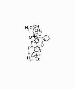 CCC(C)(C)Nc1cc(C(F)F)c(-c2sc(C(=O)NCC(C)(C)O)nc2C(=O)N2CCCCC2C)cn1